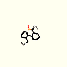 C=C(P=O)c1ccccc1-c1ccccc1CC